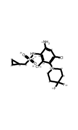 Nc1cc(Cl)c(N2CCC(F)(F)CC2)c(Cl)c1NS(=O)(=O)CC1CC1